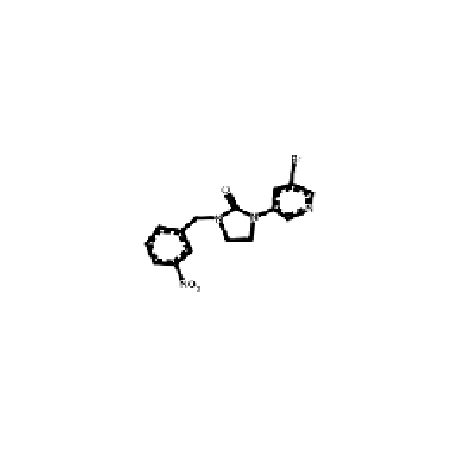 O=C1N(Cc2cccc([N+](=O)[O-])c2)CCN1c1cncc(Br)c1